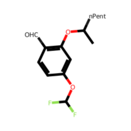 CCCCCC(C)Oc1cc(OC(F)F)ccc1C=O